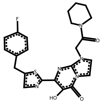 O=C(Cn1ccn2c(=O)c(O)c(-c3ncc(Cc4ccc(F)cc4)s3)nc12)N1CCCCC1